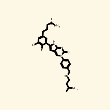 CC(N)CCNCc1ccc(-n2cc3cc(-c4cc(CCC[C@H](C)N)cc(Cl)c4F)[nH]c3nc2=O)cc1